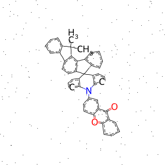 CC1(C)c2ccccc2-c2ccc3c(c21)-c1ccccc1C31c2ccccc2N(c2ccc3oc4ccccc4c(=O)c3c2)c2ccccc21